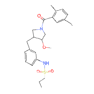 CCCS(=O)(=O)Nc1cccc(CC2CN(C(=O)c3cc(C)ccc3C)CC2OC)c1